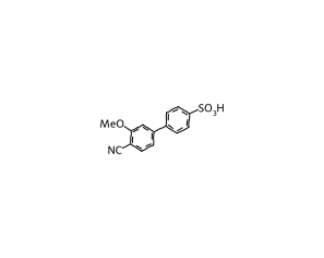 COc1cc(-c2ccc(S(=O)(=O)O)cc2)ccc1C#N